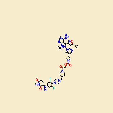 Cc1nc(-c2c(-c3nn(C(C)(C)C)c4ncnc(N)c34)noc2C2CC2)ncc1C1CN(C(=O)OCC(=O)N2CCC(CN3CCN(c4c(F)cc(NC5CCC(=O)NC5=O)cc4F)CC3)CC2)C1